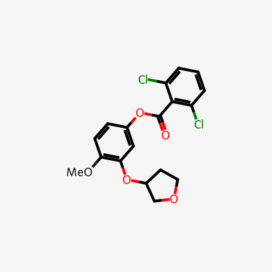 COc1ccc(OC(=O)c2c(Cl)cccc2Cl)cc1OC1CCOC1